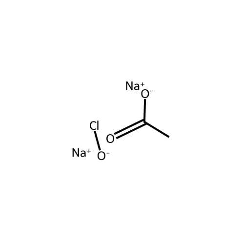 CC(=O)[O-].[Na+].[Na+].[O-]Cl